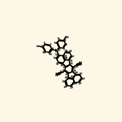 Cc1ccc(N(c2ccc(C)cc2)c2ccc3c4c(C#N)c5c6cccc7cccc(c5c(C#N)c4c4cccc2c43)c76)cc1